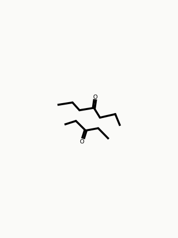 CCC(=O)CC.CCCC(=O)CCC